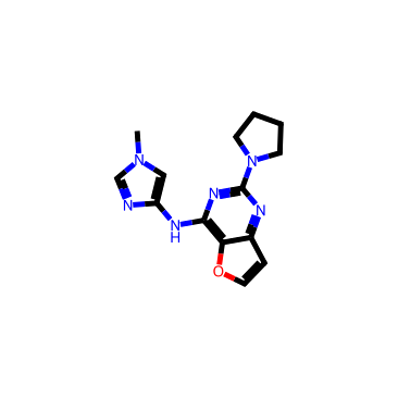 Cn1cnc(Nc2nc(N3CCCC3)nc3ccoc23)c1